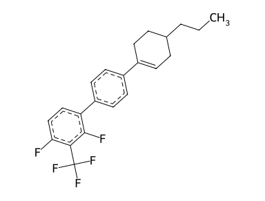 CCCC1CC=C(c2ccc(-c3ccc(F)c(C(F)(F)F)c3F)cc2)CC1